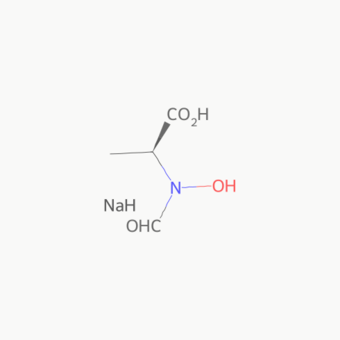 C[C@@H](C(=O)O)N(O)C=O.[NaH]